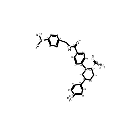 CC[S+]([O-])c1ccc(CNC(=O)c2ccc(N3CC(c4ccc(C(F)(F)F)cc4)CC[C@H]3C(N)=O)cc2)cc1